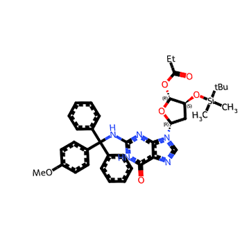 CCC(=O)O[C@H]1O[C@@H](n2cnc3c(=O)[nH]c(NC(c4ccccc4)(c4ccccc4)c4ccc(OC)cc4)nc32)C[C@@H]1O[Si](C)(C)C(C)(C)C